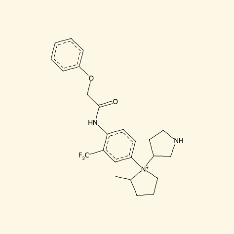 CC1CCC[N+]1(c1ccc(NC(=O)COc2ccccc2)c(C(F)(F)F)c1)C1CCNC1